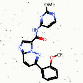 COc1nccc(NC(=O)c2cnc3ccc(-c4ccccc4OC(F)(F)F)nn23)n1